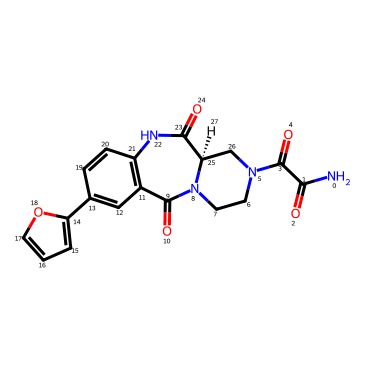 NC(=O)C(=O)N1CCN2C(=O)c3cc(-c4ccco4)ccc3NC(=O)[C@H]2C1